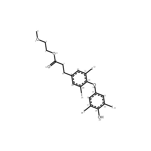 COCCOC(=O)CCc1cc(I)c(Oc2cc(I)c(O)c(I)c2)c(I)c1